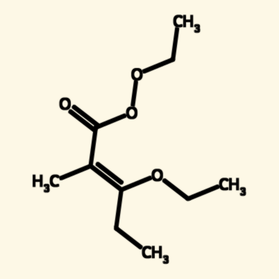 CCOOC(=O)C(C)=C(CC)OCC